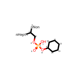 CCCCCCCCCC(CCCCCCC)COP(=O)(O)OC1CCCCC1